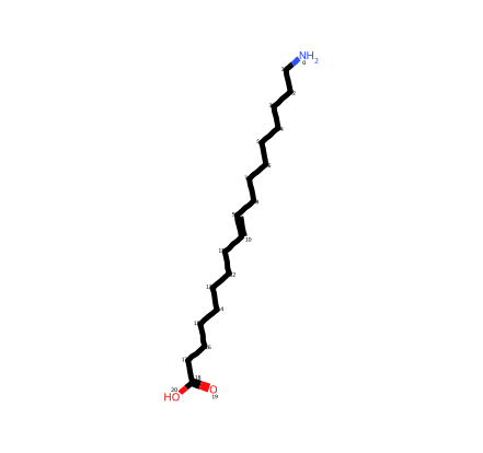 NCCCCCCCCC=CCCCCCCCC(=O)O